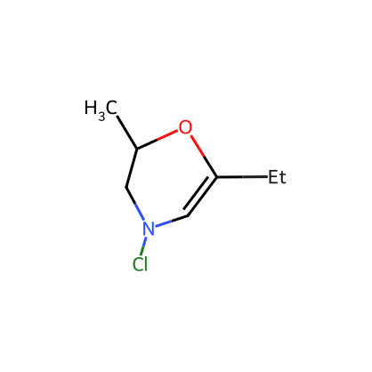 CCC1=CN(Cl)CC(C)O1